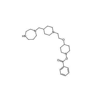 O=C(ON1CCC(OCCN2CCC(CN3CCCNCC3)CC2)CC1)c1ccccc1